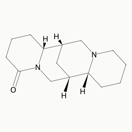 O=C1CCC[C@@H]2[C@H]3C[C@@H](CN12)[C@H]1CCCCN1C3